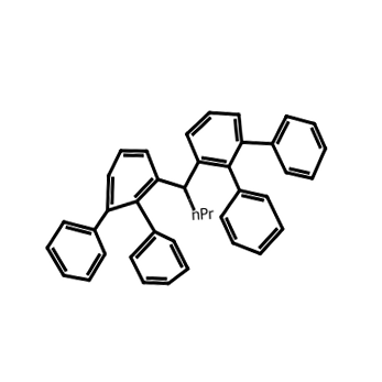 CCC[C](c1cccc(-c2ccccc2)c1-c1ccccc1)c1cccc(-c2ccccc2)c1-c1ccccc1